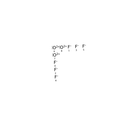 [F-].[F-].[F-].[F-].[F-].[F-].[O+2].[O+2].[O+2]